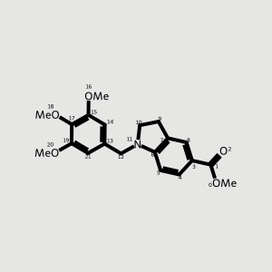 COC(=O)c1ccc2c(c1)CCN2Cc1cc(OC)c(OC)c(OC)c1